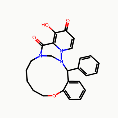 O=C1c2c(O)c(=O)ccn2N2CN1CCCCCOc1ccccc1C2c1ccccc1